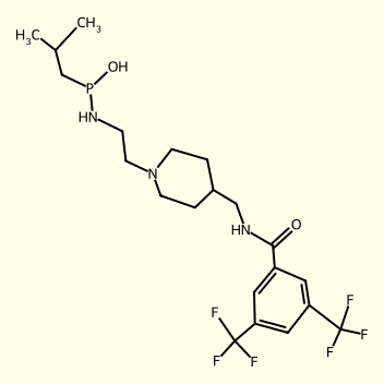 CC(C)CP(O)NCCN1CCC(CNC(=O)c2cc(C(F)(F)F)cc(C(F)(F)F)c2)CC1